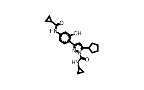 O=C(Nc1ccc(-c2cc(C3CCCC3)n(C(=O)NC3CC3)n2)c(O)c1)C1CC1